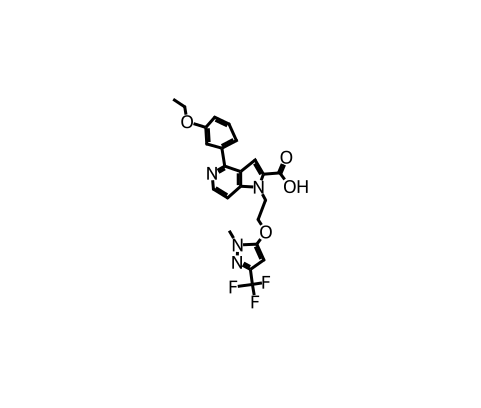 CCOc1cccc(-c2nccc3c2cc(C(=O)O)n3CCOc2cc(C(F)(F)F)nn2C)c1